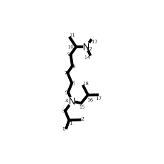 CC(C)CN(CCCCCC(C)N(C)C)CC(C)C